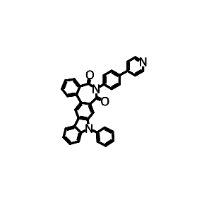 O=c1c2ccccc2c2cc3c4ccccc4n(-c4ccccc4)c3cc2c(=O)n1-c1ccc(-c2ccncc2)cc1